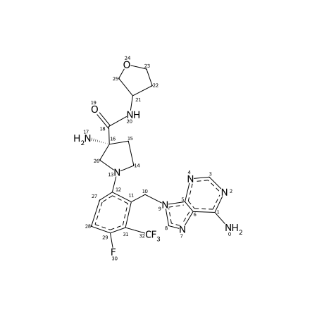 Nc1ncnc2c1ncn2Cc1c(N2CC[C@](N)(C(=O)NC3CCOC3)C2)ccc(F)c1C(F)(F)F